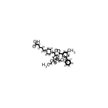 CCOP(=O)(C[C@H](NC(=O)c1cc(C)nc(-c2ccccc2)n1)C(=O)N1CCN(CCCCC(=O)O)CC1)OCC